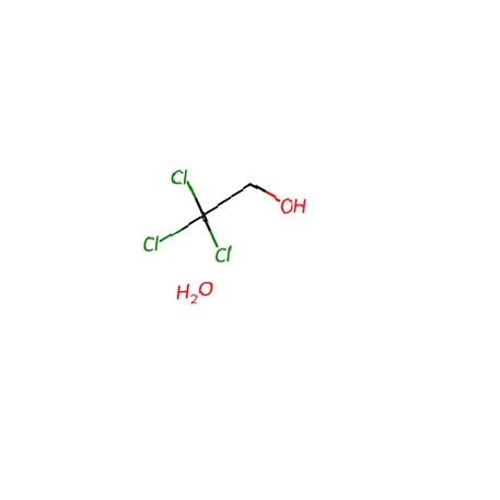 O.OCC(Cl)(Cl)Cl